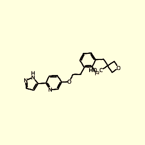 O=C(O)C1(Cc2cccc(CCOc3ccc(-c4ccn[nH]4)nc3)c2F)COC1